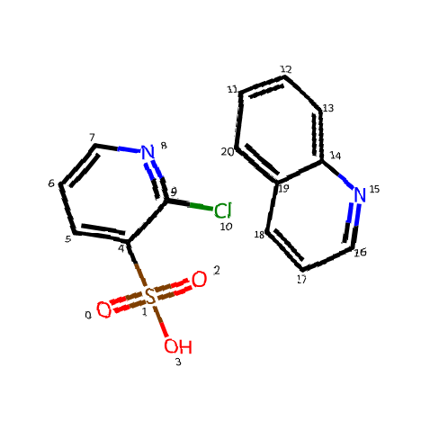 O=S(=O)(O)c1cccnc1Cl.c1ccc2ncccc2c1